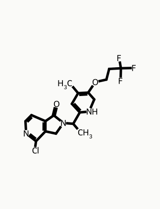 CC1=C(OCCC(F)(F)F)CNC(C(C)N2Cc3c(ccnc3Cl)C2=O)=C1